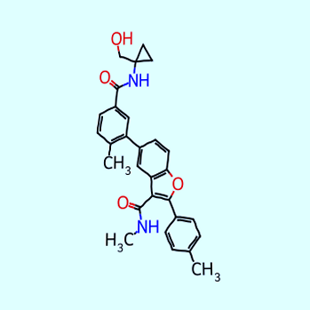 CNC(=O)c1c(-c2ccc(C)cc2)oc2ccc(-c3cc(C(=O)NC4(CO)CC4)ccc3C)cc12